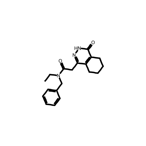 CCN(Cc1ccccc1)C(=O)Cc1n[nH]c(=O)c2c1CCCC2